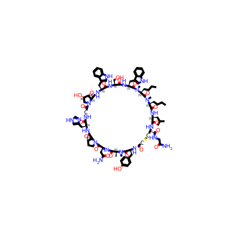 CCCC[C@H]1C(=O)N(C)[C@@H](CCCC)C(=O)N[C@@H](CC(C)C)C(=O)N[C@H](C(=O)NCC(N)=O)CSCC(=O)N[C@@H](Cc2ccc(O)cc2)C(=O)N(C)[C@@H](C)C(=O)N[C@@H](CC(N)=O)C(=O)N2CCC[C@H]2C(=O)N[C@@H](Cc2c[nH]cn2)C(=O)NCC(=O)N2C[C@H](O)C[C@H]2C(=O)N[C@@H](Cc2c[nH]c3ccccc23)C(=O)N[C@@H](CO)C(=O)N[C@@H](Cc2c[nH]c3ccccc23)C(=O)N1C